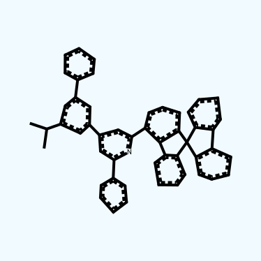 CC(C)c1cc(-c2ccccc2)cc(-c2cc(-c3ccccc3)nc(-c3cccc4c3-c3ccccc3C43c4ccccc4-c4ccccc43)c2)c1